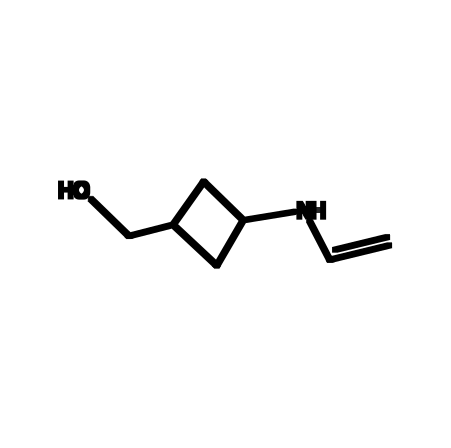 C=CNC1CC(CO)C1